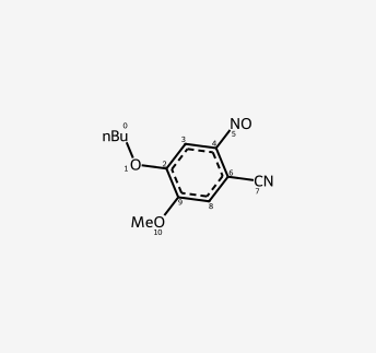 CCCCOc1cc(N=O)c(C#N)cc1OC